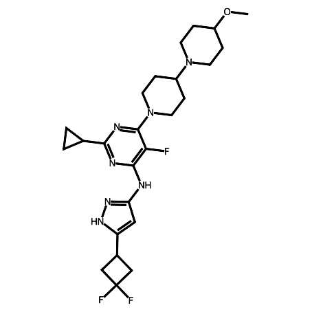 COC1CCN(C2CCN(c3nc(C4CC4)nc(Nc4cc(C5CC(F)(F)C5)[nH]n4)c3F)CC2)CC1